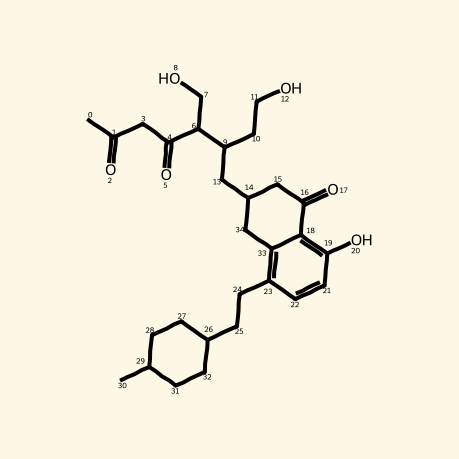 CC(=O)CC(=O)C(CO)C(CCO)CC1CC(=O)c2c(O)ccc(CCC3CCC(C)CC3)c2C1